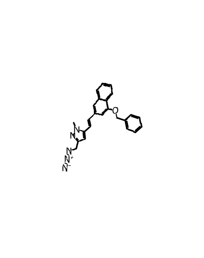 Cn1nc(CN=[N+]=[N-])cc1/C=C/c1cc(OCc2ccccc2)c2ccccc2c1